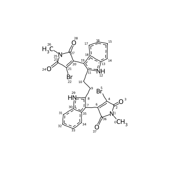 CN1C(=O)C(Br)=C(c2c(CCc3[nH]c4ccccc4c3C3=C(Br)C(=O)N(C)C3=O)[nH]c3ccccc23)C1=O